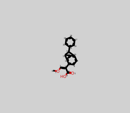 COC=C(C(=O)O)c1ccc2c3c1C3C2c1ccccc1